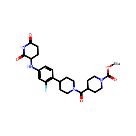 CC(C)(C)OC(=O)N1CCC(C(=O)N2CCC(c3ccc(NC4CCC(=O)NC4=O)cc3F)CC2)CC1